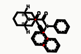 O=C(N1C[C@H]2CCC[C@@H](C1)N2C(=O)C#Cc1ccccc1)N(c1ccccc1)c1ccccc1